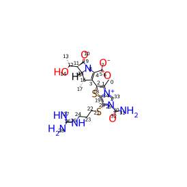 Cc1c(C2=C(C(=O)[O-])N3C(=O)[C@H]([C@@H](C)O)[C@H]3[C@H]2C)sc2c(SCCCNC(=N)N)n(C(N)=O)c[n+]12